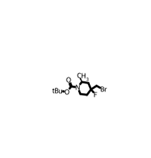 C[C@H]1CC(F)(CBr)CCN1C(=O)OC(C)(C)C